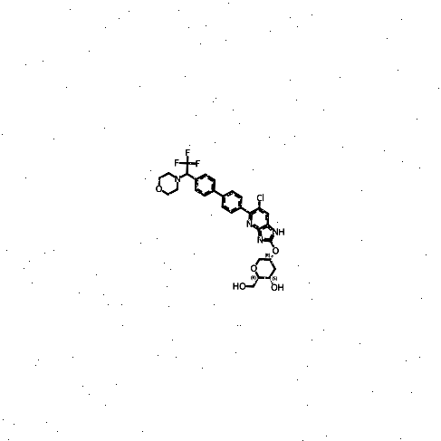 OC[C@H]1OC[C@H](Oc2nc3nc(-c4ccc(-c5ccc(C(N6CCOCC6)C(F)(F)F)cc5)cc4)c(Cl)cc3[nH]2)C[C@@H]1O